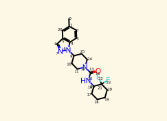 Cc1ccc2c(cnn2C2CCN(C(=O)N[C@@H]3CCCCC3(F)F)CC2)c1